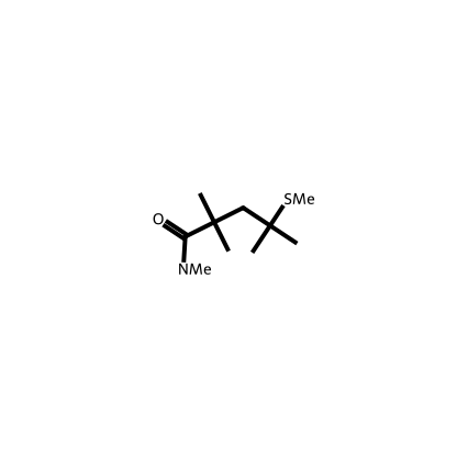 CNC(=O)C(C)(C)CC(C)(C)SC